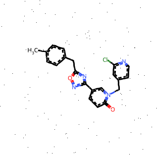 Cc1ccc(Cc2nc(-c3ccc(=O)n(Cc4ccnc(Cl)c4)c3)no2)cc1